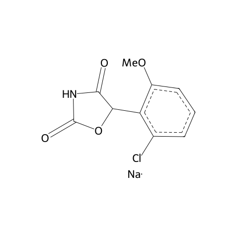 COc1cccc(Cl)c1C1OC(=O)NC1=O.[Na]